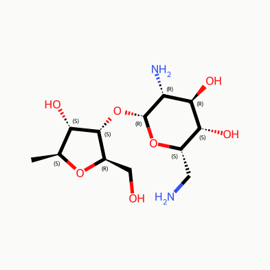 C[C@@H]1O[C@H](CO)[C@@H](O[C@H]2O[C@@H](CN)[C@@H](O)[C@H](O)[C@H]2N)[C@H]1O